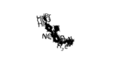 CC(C)NC(=O)Nc1ccc(-c2c(C#N)c3ccc(S(=O)(=O)CCc4nccn4C)cc3n2C2CCC2)cc1